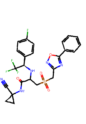 N#CC1(NC(=O)C(CS(=O)(=O)Cc2noc(-c3ccccc3)n2)N[C@H](c2ccc(F)cc2)C(F)(F)F)CC1